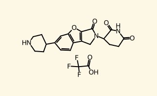 O=C(O)C(F)(F)F.O=C1CCC(N2Cc3c(oc4cc(C5CCNCC5)ccc34)C2=O)C(=O)N1